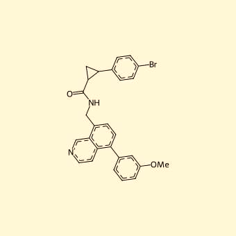 COc1cccc(-c2ccc(CNC(=O)C3CC3c3ccc(Br)cc3)c3cnccc23)c1